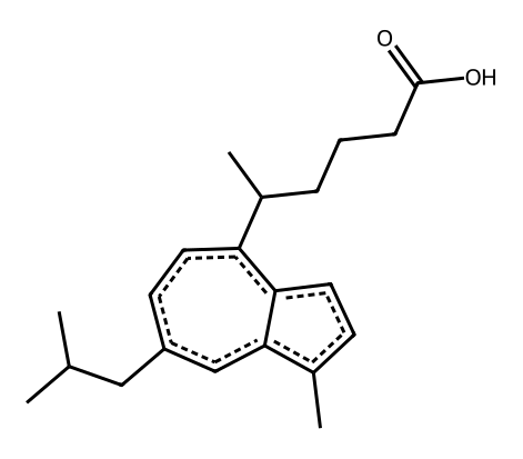 Cc1ccc2c(C(C)CCCC(=O)O)ccc(CC(C)C)cc1-2